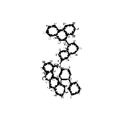 C1=CC(c2ccccc2)CC=C1N(c1ccc2c(-c3cc4ccccc4c4ccccc34)cccc2c1)c1cccc2oc3cc4ccccc4cc3c12